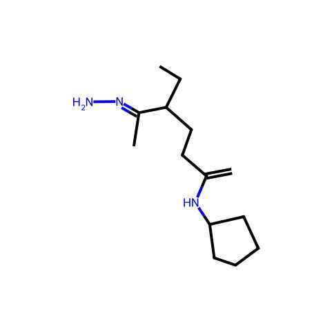 C=C(CCC(CC)/C(C)=N/N)NC1CCCC1